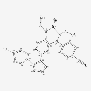 CC[C@H]1C(=N)N(C=N)c2cnc(-c3cnsc3-c3ccc(F)cc3)nc2N1c1ccc(C#N)cc1